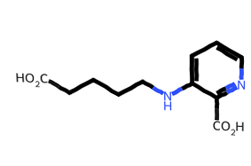 O=C(O)CCCCNc1cccnc1C(=O)O